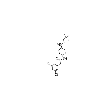 CC(C)(C)CCN[C@H]1CC[C@H](NC(=O)Cc2cc(F)cc(Cl)c2)CC1